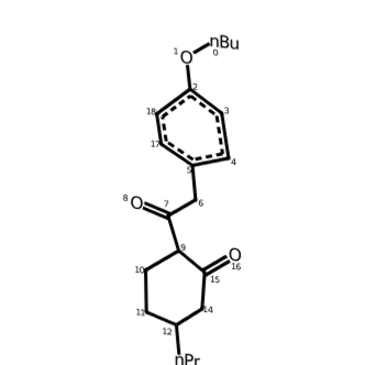 CCCCOc1ccc(CC(=O)C2CCC(CCC)CC2=O)cc1